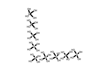 O[Si](O)(O)O.O[Si](O)(O)O.O[Si](O)(O)O.O[Si](O)(O)O.O[Si](O)(O)O.O[Si](O)(O)O.O[Si](O)(O)O.O[Si](O)(O)O.O[Si](O)(O)O